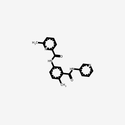 Cc1cccc(C(=O)Nc2ccc(C)c(C(=O)Nc3cccnc3)c2)n1